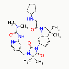 CN(C)C(=O)Nc1cc(CN2C(=O)N(c3ccc4c(c3)N(C(=O)CNC3CCCC3)CC4(C)C)C(=O)C2(C)C)ccn1